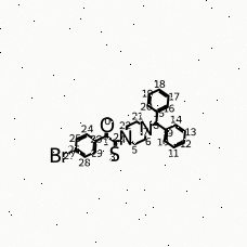 O=C(C(=S)N1CCN(C(c2ccccc2)c2ccccc2)CC1)c1ccc(Br)cc1